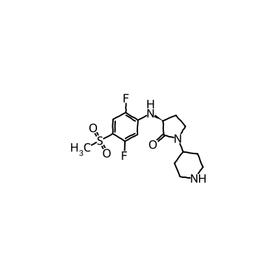 CS(=O)(=O)c1cc(F)c(N[C@H]2CCN(C3CCNCC3)C2=O)cc1F